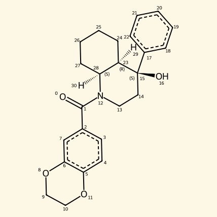 O=C(c1ccc2c(c1)OCCO2)N1CC[C@@](O)(c2ccccc2)[C@@H]2CCCC[C@@H]21